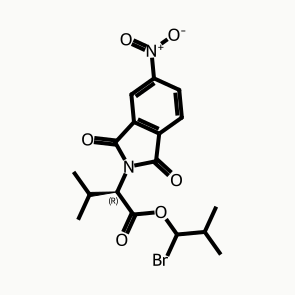 CC(C)C(Br)OC(=O)[C@@H](C(C)C)N1C(=O)c2ccc([N+](=O)[O-])cc2C1=O